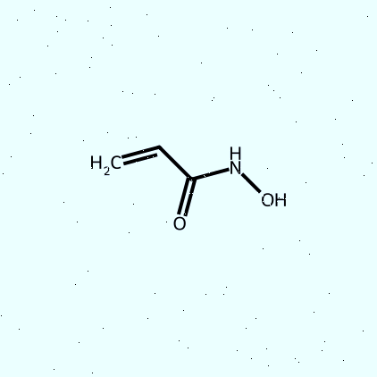 C=CC(=O)NO